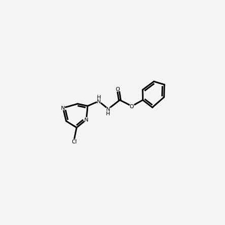 O=C(NNc1cncc(Cl)n1)Oc1ccccc1